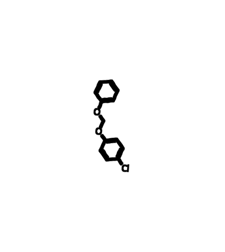 Clc1ccc(OCOc2ccccc2)cc1